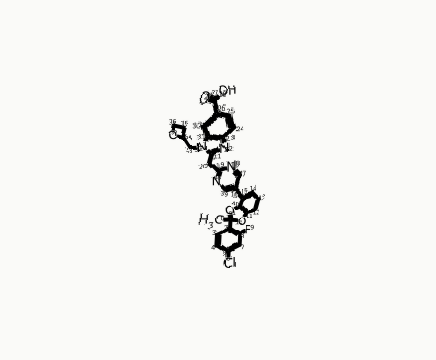 CC1(c2ccc(Cl)cc2F)Oc2cccc(-c3cnc(Cc4nc5ccc(C(=O)O)cc5n4CC4CCO4)nc3)c2O1